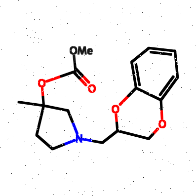 COC(=O)OC1(C)CCN(CC2COc3ccccc3O2)C1